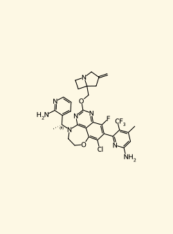 C=C1CN2CCC2(COc2nc3c4c(c(Cl)c(-c5nc(N)cc(C)c5C(F)(F)F)c(F)c4n2)OCCN3[C@H](C)c2cccnc2N)C1